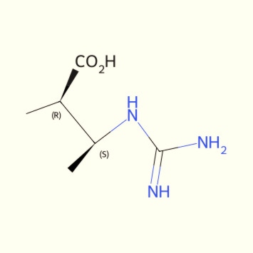 C[C@H](NC(=N)N)[C@@H](C)C(=O)O